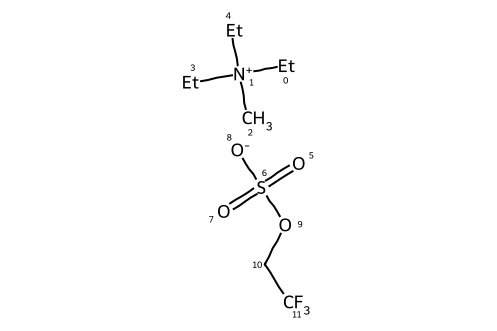 CC[N+](C)(CC)CC.O=S(=O)([O-])OCC(F)(F)F